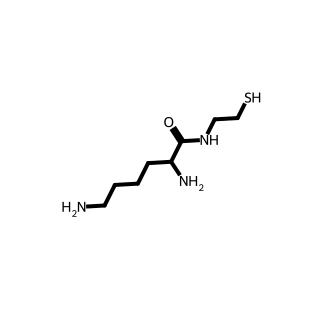 NCCCCC(N)C(=O)NCCS